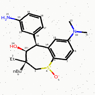 CCCC[C@]1(CC)C[S+]([O-])c2ccc(N(C)C)cc2[C@H](c2cccc(N)c2)[C@@H]1O